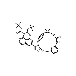 CC(C)(C)OC(=O)N(C(=O)OC(C)(C)C)c1nccc2cc(NC3C(=O)NCc4cccc(c4)NC(=O)OCC(C)(C)c4ccc3cc4)ccc12